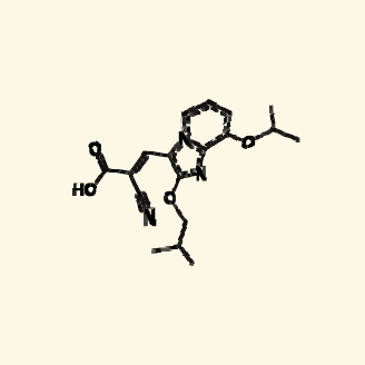 CC(C)COc1nc2c(OC(C)C)cccn2c1C=C(C#N)C(=O)O